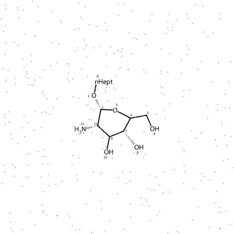 CCCCCCCO[C@@H]1OC(CO)[C@H](O)C(O)[C@@H]1N